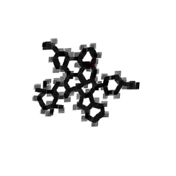 Cc1cc2c3c(c1)N(c1ccc(C(C)(C)C)cc1)c1c(sc4ccccc14)B3c1cc3c(cc1N2c1ccc(C(C)(C)C)cc1-c1ccccc1)C(C)(C)CCC3(C)C